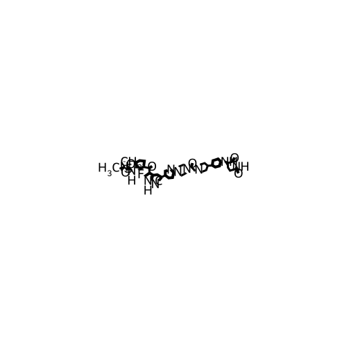 CCN(C)S(=O)(=O)Nc1cccc(C(=O)c2c[nH]c3ncc(-c4ccc(N5CCN(C(=O)CN6CCC(c7ccc(NC8CCC(=O)NC8=O)cc7)CC6)CC5)nc4)cc23)c1F